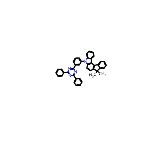 CC1(C)c2ccccc2-c2c1ccc1c2c2ccccc2n1-c1cccc(-c2nc(-c3ccccc3)nc(-c3ccccc3)n2)c1